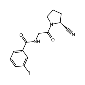 N#C[C@@H]1CCCN1C(=O)CNC(=O)c1cccc(I)c1